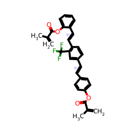 C=C(C)C(=O)Oc1ccc(/C=C/c2ccc(/C=C/c3ccccc3OC(=O)C(=C)C)c(C(F)(F)F)c2)cc1